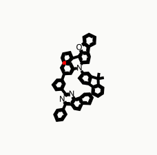 CC1(C)c2ccccc2-c2ccc(N(c3cccc(-c4cccc(-c5nc(-c6ccccc6)c6ccc7ccccc7c6n5)c4)c3)c3ccc4c(oc5ccccc54)c3-c3ccccc3)cc21